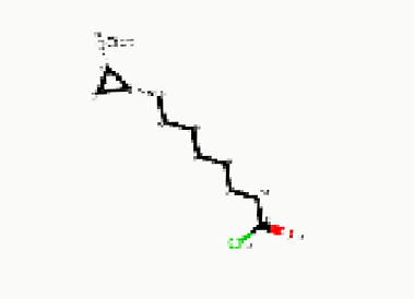 CCCCCCCC[C@H]1C[C@H]1CCCCCCCC(=O)Cl